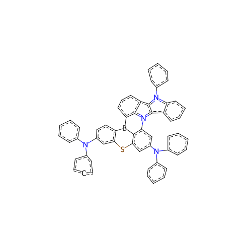 c1ccc(N(c2ccccc2)c2ccc3c(c2)Sc2cc(N(c4ccccc4)c4ccccc4)cc4c2B3c2cccc3c2n-4c2c4ccccc4n(-c4ccccc4)c32)cc1